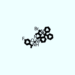 CC(NC(=O)Nc1cc2c(cn1)c(Br)nn2C(c1ccccc1)(c1ccccc1)c1ccccc1)c1ccc(F)cc1